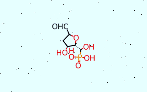 O=CC1[CH][C@H](O)[C@@H](C(O)P(=O)(O)O)O1